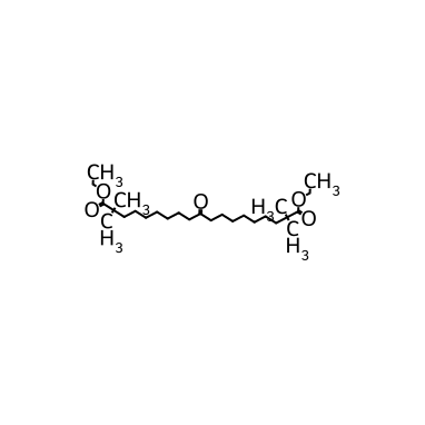 CCOC(=O)C(C)(C)CCCCCCCC(=O)CCCCCCCC(C)(C)C(=O)OCC